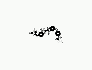 CC(=O)Nc1ccc(Oc2ccc3nc(C(C)Oc4ccc(CC5SC(=O)NC5=O)cc4)[nH]c3c2)cc1